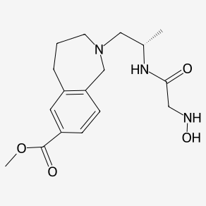 COC(=O)c1ccc2c(c1)CCCN(C[C@H](C)NC(=O)CNO)C2